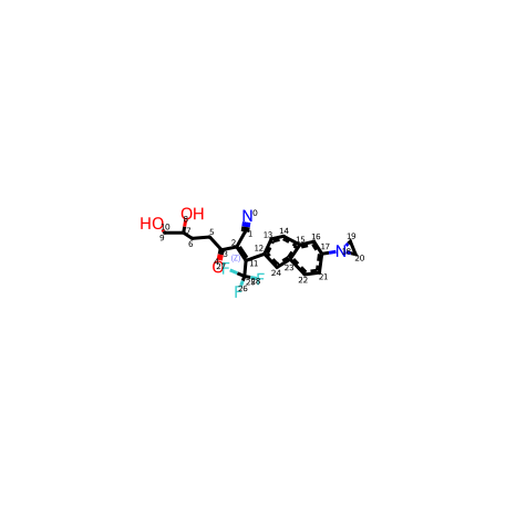 N#C/C(C(=O)CCC(O)CO)=C(\c1ccc2cc(N3CC3)ccc2c1)C(F)(F)F